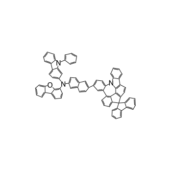 c1ccc(-n2c3ccccc3c3ccc(N(c4ccc5cc(-c6ccc7c(c6)-c6cccc8c6-c6c(ccc9c%10ccccc%10n-7c69)C86c7ccccc7-c7ccccc76)ccc5c4)c4cccc5c4oc4ccccc45)cc32)cc1